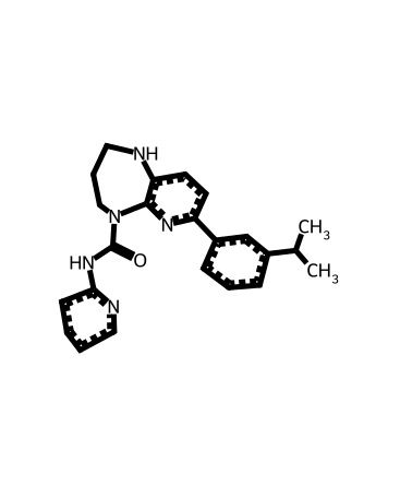 CC(C)c1cccc(-c2ccc3c(n2)N(C(=O)Nc2ccccn2)CCCN3)c1